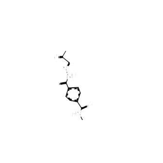 CNC(=O)c1ccc(C(=O)N/N=C/C(C)=O)cc1